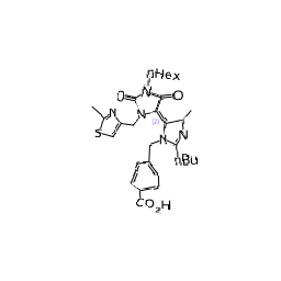 CCCCCCN1C(=O)/C(=C2\C(C)N=C(CCCC)N2Cc2ccc(C(=O)O)cc2)N(Cc2csc(C)n2)C1=O